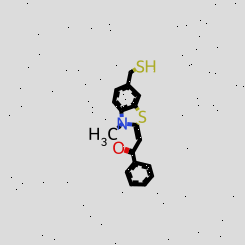 CN1/C(=C\C(=O)c2ccccc2)Sc2cc(CS)ccc21